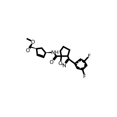 COC(=O)[C@@H]1C=C[C@H](NC(=O)C23CCCC2C(c2cc(F)cc(F)c2)=NO3)C1